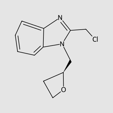 ClCc1nc2ccccc2n1C[C@@H]1CCO1